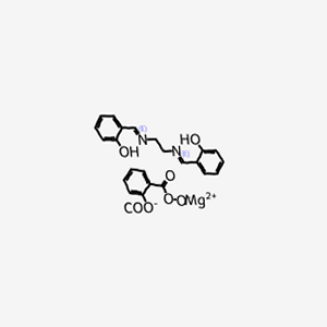 O=C([O-])c1ccccc1C(=O)O[O-].Oc1ccccc1/C=N/CC/N=C/c1ccccc1O.[Mg+2]